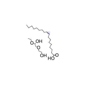 CCCCCCCC/C=C\CCCCCCCC(=O)O.CCOC(O)COCCO